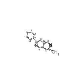 Cc1cc2cnc(-c3ccccc3)cc2cn1